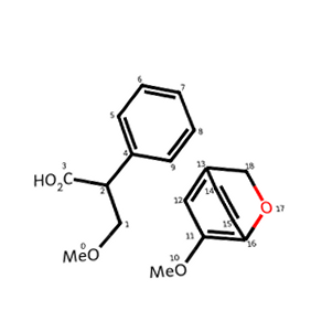 COCC(C(=O)O)c1ccccc1.COc1cc2ccc1OC2